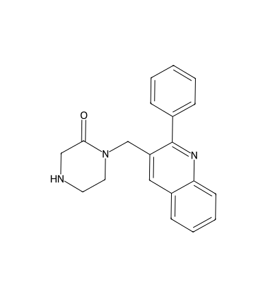 O=C1CNCCN1Cc1cc2ccccc2nc1-c1ccccc1